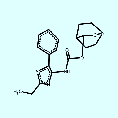 CCc1nc(NC(=O)OC2CN3CCC2CC3)c(-c2ccccc2)s1